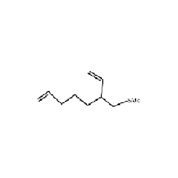 C=CCCCC(C=C)CSC